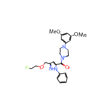 COc1cc(OC)cc(N2CCN(C(=O)c3cc(COCCF)nn3-c3ccccc3)CC2)c1